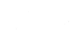 CCOC(=O)c1cc(Cl)c(S(C)(=O)=O)c(Cl)c1